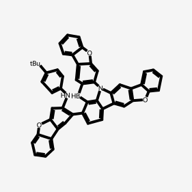 CC(C)(C)c1ccc(Nc2cc3oc4ccccc4c3cc2-c2ccc3c4cc5oc6ccccc6c5cc4n4c3c2Bc2cc3c(cc2-4)oc2ccccc23)cc1